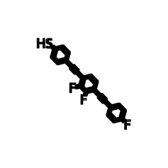 Fc1ccc(C#Cc2ccc(C#Cc3ccc(S)cc3)c(F)c2F)cc1